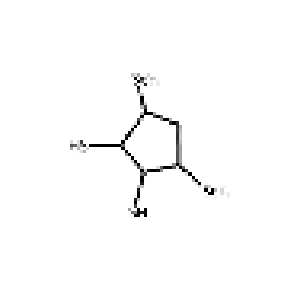 SC1C([SeH])CC([SeH])C1S